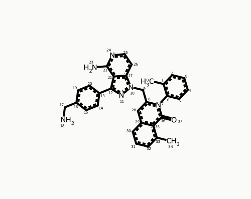 Cc1ccccc1-n1c(Cn2nc(-c3ccc(CN)cc3)c3c(N)nccc32)cc2cccc(C)c2c1=O